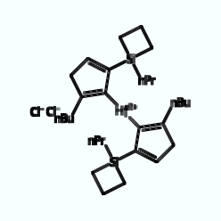 CCCCC1=[C]([Hf+2][C]2=C(CCCC)CC=C2[Si]2(CCC)CCC2)C([Si]2(CCC)CCC2)=CC1.[Cl-].[Cl-]